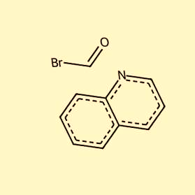 O=CBr.c1ccc2ncccc2c1